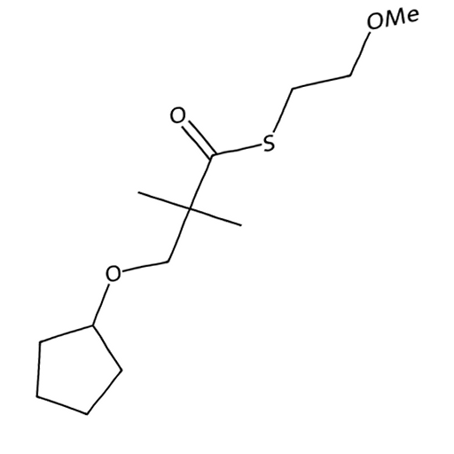 COCCSC(=O)C(C)(C)COC1CCCC1